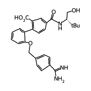 CC(C)(C)[C@@H](CO)NC(=O)c1ccc(-c2ccccc2OCc2ccc(C(=N)N)cc2)c(C(=O)O)c1